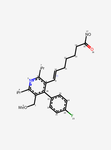 COCc1c(C(C)C)nc(C(C)C)c(/C=C/CCCCC(=O)N=O)c1-c1ccc(F)cc1